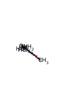 CCCCCCCCCCCCC/C=C/[C@@H](O)[C@@H](N)C(O)C=O